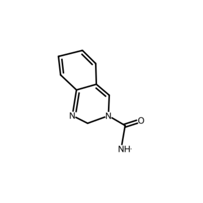 [NH]C(=O)N1C=c2ccccc2=NC1